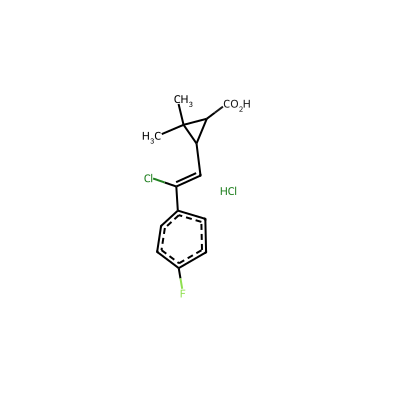 CC1(C)C(C=C(Cl)c2ccc(F)cc2)C1C(=O)O.Cl